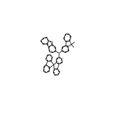 CC1(C)c2ccccc2-c2cc(N(c3ccc4c(c3)C3(c5ccccc5-c5ccccc53)c3ccccc3-4)c3ccc4c(c3)oc3ccccc34)ccc21